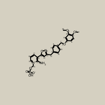 COc1ccc(OCc2ccc(Cc3cc(-c4ccc[n+](COP(=O)([O-])O)c4N)on3)cc2)cc1OC